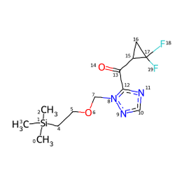 C[Si](C)(C)CCOCn1ncnc1C(=O)C1CC1(F)F